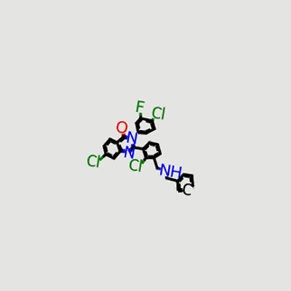 O=c1c2ccc(Cl)cc2nc(-c2cccc(CNCc3ccccc3)c2Cl)n1-c1ccc(Cl)c(F)c1